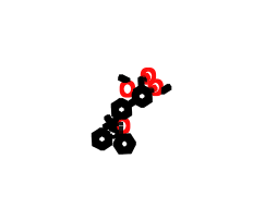 CCOc1ccc(-c2cccc(O[Si](c3ccccc3)(c3ccccc3)C(C)(C)C)c2)c(OCC)c1C=O